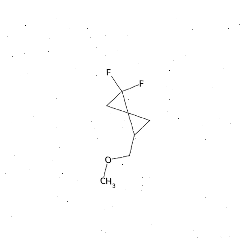 COCC1CC12CC2(F)F